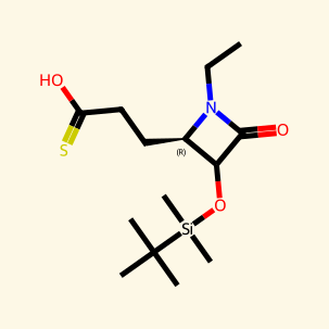 CCN1C(=O)C(O[Si](C)(C)C(C)(C)C)[C@H]1CCC(O)=S